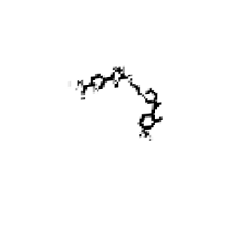 Cn1c(SCCCN2CCC3(CC3c3ccc(C(F)(F)F)cc3F)C2)nnc1-c1ccc(C(N)=O)nc1